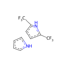 FC(F)(F)c1ccc(C(F)(F)F)[nH]1.c1cc[nH]c1